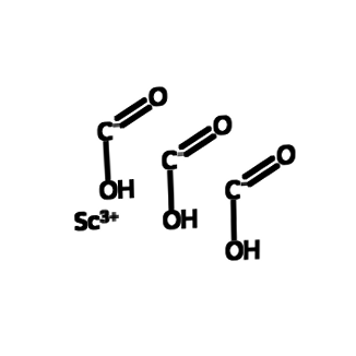 O=[C-]O.O=[C-]O.O=[C-]O.[Sc+3]